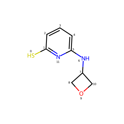 Sc1cccc(NC2COC2)n1